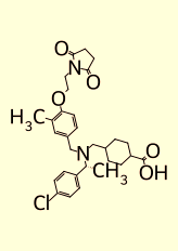 Cc1cc(CN(CC2CCC(C(=O)O)CC2)[C@H](C)c2ccc(Cl)cc2)ccc1OCCN1C(=O)CCC1=O